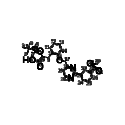 CC(C)(C)[Si](C)(C)OC(Cc1ccccc1OCc1ccnc(-c2cccc(S(C)(=O)=O)c2)n1)C(=O)O